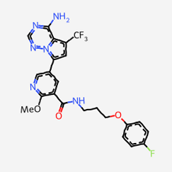 COc1ncc(-c2cc(C(F)(F)F)c3c(N)ncnn23)cc1C(=O)NCCCOc1ccc(F)cc1